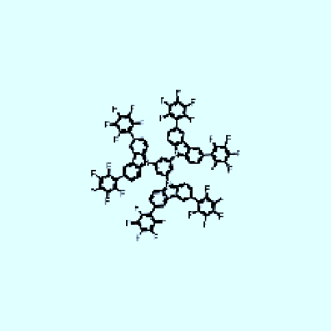 Cc1c(F)c(F)c(F)c(-c2ccc3c(c2)c2cc(-c4c(F)c(F)c(F)c(F)c4F)ccc2n3-c2cc(-n3c4ccc(-c5c(F)c(F)c(F)c(F)c5F)cc4c4cc(-c5c(F)c(F)c(F)c(F)c5F)ccc43)cc(-n3c4ccc(-c5c(F)c(F)c(F)c(F)c5F)cc4c4cc(-c5c(F)c(F)c(F)c(F)c5F)ccc43)c2)c1F